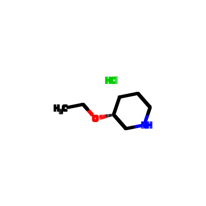 CCO[C@@H]1CCCNC1.Cl